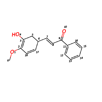 COC1=C(O)CC(C=CC(=O)c2ccccc2)C=C1